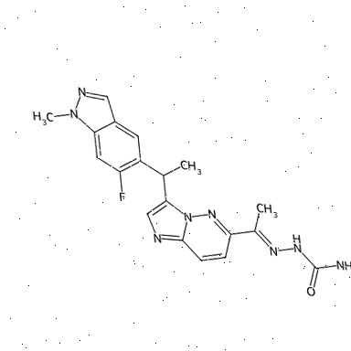 C/C(=N\NC(N)=O)c1ccc2ncc(C(C)c3cc4cnn(C)c4cc3F)n2n1